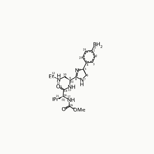 Bc1ccc(C2CNC([C@H](CNCC)NC(=O)[C@@H](NC(=O)OC)C(C)C)=N2)cc1